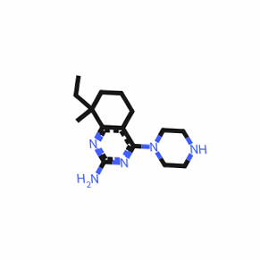 CCC1(C)CCCc2c(N3CCNCC3)nc(N)nc21